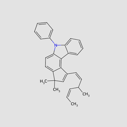 C/C=C\C(C)/C=C\C1=CC(C)(C)c2ccc3c(c21)c1ccccc1n3-c1ccccc1